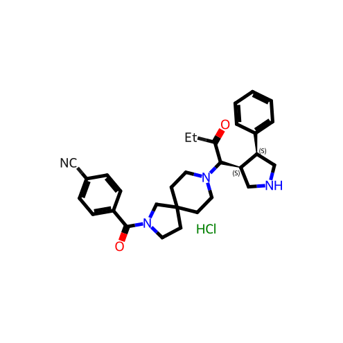 CCC(=O)C([C@@H]1CNC[C@@H]1c1ccccc1)N1CCC2(CCN(C(=O)c3ccc(C#N)cc3)C2)CC1.Cl